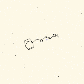 C/C=C/OCC12C=CC(CC1)C2